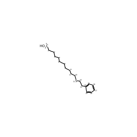 O=C(O)CCCCCCCCCCSCCc1ccccc1